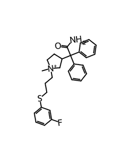 C[N+]1(CCCSc2cccc(F)c2)CCC(C(C(N)=O)(c2ccccc2)c2ccccc2)C1